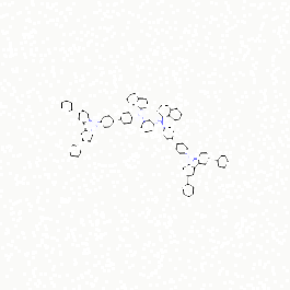 c1ccc(-c2ccc3c(c2)c2cc(-c4ccccc4)ccc2n3-c2ccc(-c3ccc(N(c4cccc(N(c5ccc(-c6ccc(-n7c8ccc(-c9ccccc9)cc8c8cc(-c9ccccc9)ccc87)cc6)cc5)c5cccc6ccccc56)c4)c4cccc5ccccc45)cc3)cc2)cc1